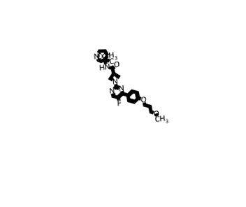 COCCCOc1ccc(-c2nc(N3CC(C(=O)NC4(C)CCN5CCC4CC5)C3)ncc2F)cc1